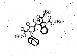 CC(C)(C)OC(=O)c1c(C(O)C2CN(C3C4CC5CC(C4)CC3C5)N(C(=O)OC(C)(C)C)C2=O)c2ccccc2n1C(=O)OC(C)(C)C